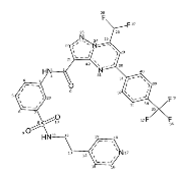 O=C(Nc1cccc(S(=O)(=O)NCCc2ccncc2)c1)c1cnn2c(C(F)F)cc(-c3ccc(C(F)(F)F)cc3)nc12